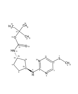 CSc1cnc(N[C@H]2CC[C@H](NC(=O)OC(C)(C)C)C2)nc1